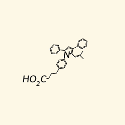 CC(C)=Cc1c(-c2ccccc2)cc(-c2ccccc2)n1-c1ccc(CCCC(=O)O)cc1